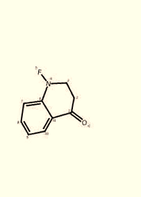 O=C1CCN(F)c2ccccc21